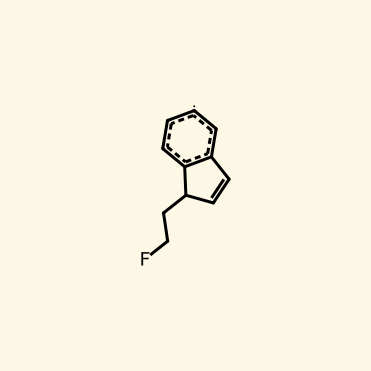 FCCC1C=Cc2c[c]ccc21